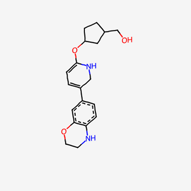 OCC1CCC(OC2=CC=C(c3ccc4c(c3)OCCN4)CN2)C1